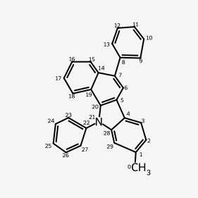 Cc1ccc2c3cc(-c4ccccc4)c4ccccc4c3n(-c3ccccc3)c2c1